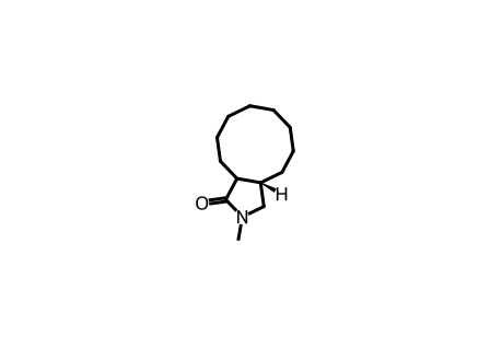 CN1C[C@H]2CCCCCCCCC2C1=O